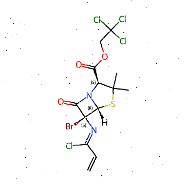 C=CC(Cl)=N[C@]1(Br)C(=O)N2[C@@H](C(=O)OCC(Cl)(Cl)Cl)C(C)(C)S[C@@H]21